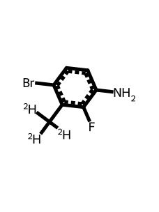 [2H]C([2H])([2H])c1c(Br)ccc(N)c1F